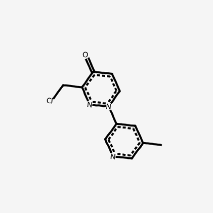 Cc1cncc(-n2ccc(=O)c(CCl)n2)c1